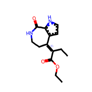 CCOC(=O)/C(CC)=C1\CCNC(=O)c2[nH]ccc21